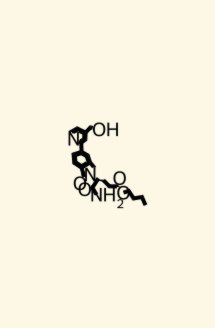 CCCCOC(=O)CC[C@@H](C(N)=O)N1Cc2cc(-c3cc(CO)ccn3)ccc2C1=O